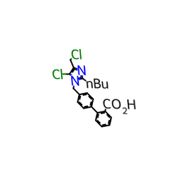 CCCCc1nc(CCl)c(Cl)n1Cc1ccc(-c2ccccc2C(=O)O)cc1